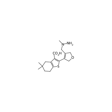 CN(N)CC1=C(c2sc3c(c2C(=O)O)CC(C)(C)CC3)COC1